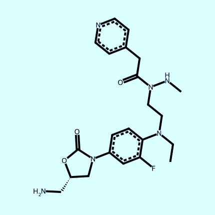 CCN(CCN(NC)C(=O)Cc1ccncc1)c1ccc(N2C[C@H](CN)OC2=O)cc1F